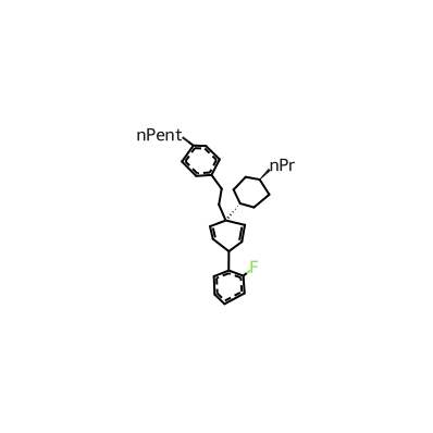 CCCCCc1ccc(CCC2([C@H]3CC[C@H](CCC)CC3)C=CC(c3ccccc3F)C=C2)cc1